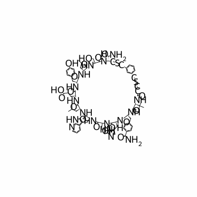 CCC[C@@H]1NC(=O)[C@H](Cc2ccc(O)cc2)NC(=O)[C@H](CCC(=O)O)NC(=O)[C@H](CC(C)C)NC(=O)[C@H](Cc2c[nH]c3ncccc23)NC(=O)[C@H]([C@@H](C)O)NC(=O)[C@H](Cc2cnc[nH]2)NC(=O)[C@H](Cc2ccc(C(N)=O)cc2)NC(=O)[C@H](C(C)(C)C)NC(=O)CCSCc2cccc(c2)CSC[C@@H](C(N)=O)NC(=O)[C@H]([C@@H](C)O)NC1=O